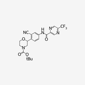 CC(C)(C)OC(=O)N1CCOC(c2ccc(NC(=O)c3cnc(C(F)(F)F)cn3)cc2C#N)C1